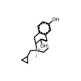 C[N@@+]1(CC2CC2)CC[C@@]23CCCCC2(O)C1Cc1ccc(O)cc13